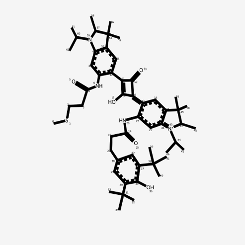 CSCCC(=O)Nc1cc2c(cc1C1=C(O)/C(=c3/cc4c(cc3NC(=O)CCc3cc(C(C)(C)C)c(O)c(C(C)(C)C)c3)=[N+](C(C)C)C(C)C4(C)C)C1=O)C(C)(C)C(C)N2C(C)C